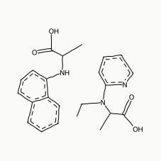 CC(Nc1cccc2ccccc12)C(=O)O.CCN(c1ccccn1)C(C)C(=O)O